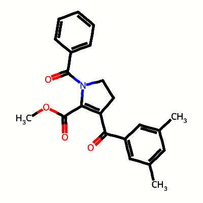 COC(=O)C1=C(C(=O)c2cc(C)cc(C)c2)CCN1C(=O)c1ccccc1